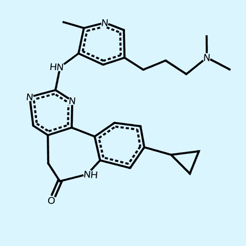 Cc1ncc(CCCN(C)C)cc1Nc1ncc2c(n1)-c1ccc(C3CC3)cc1NC(=O)C2